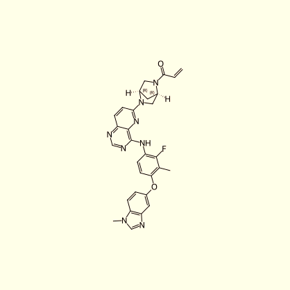 C=CC(=O)N1C[C@H]2C[C@@H]1CN2c1ccc2ncnc(Nc3ccc(Oc4ccc5c(c4)ncn5C)c(C)c3F)c2n1